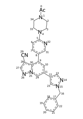 CC(=O)N1CCN(c2ccc(-c3cc(-c4cnn(Cc5ccccc5)c4)cn4ncc(C#N)c34)cn2)CC1